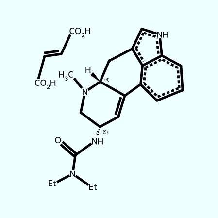 CCN(CC)C(=O)N[C@H]1C=C2c3cccc4[nH]cc(c34)C[C@H]2N(C)C1.O=C(O)C=CC(=O)O